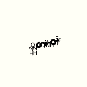 CNC(=O)NC1CCN(Cc2nc(-c3ccc(C(F)(F)F)cc3)[nH]c2C)CC1